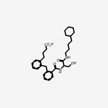 O=C(O)CCCc1ccccc1Cc1ccccc1C(=O)NC(CO)C(=O)NCCCCC1CCCCC1